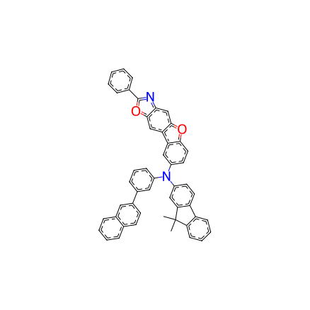 CC1(C)c2ccccc2-c2ccc(N(c3cccc(-c4ccc5ccccc5c4)c3)c3ccc4oc5cc6nc(-c7ccccc7)oc6cc5c4c3)cc21